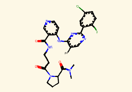 CC(C)c1cnc(-c2cc(Cl)ccc2F)nc1Nc1ccncc1C(=O)NCCC(=O)N1CCCC1C(=O)N(C)C